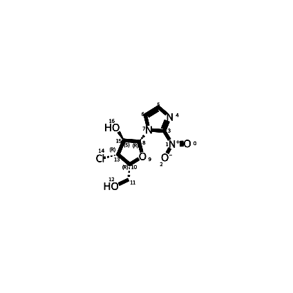 O=[N+]([O-])c1nccn1[C@@H]1O[C@H](CO)[C@H](Cl)[C@H]1O